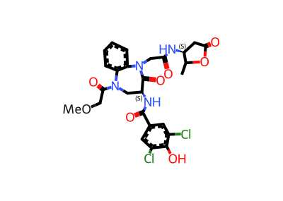 COCC(=O)N1C[C@H](NC(=O)c2cc(Cl)c(O)c(Cl)c2)C(=O)N(CC(=O)N[C@H]2CC(=O)OC2C)c2ccccc21